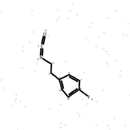 O=C=NCCc1ccc(F)cc1